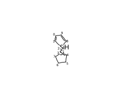 C1=C[SiH]([Si]2=CCCC2)C=C1